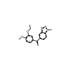 CCOc1cc(C(=O)c2ccc3c(c2)nnn3C)ccc1OC